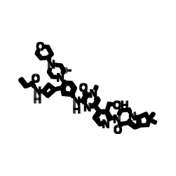 C=CC(=O)NC1CC(c2cc(Nc3nc(-c4ccnc(N5CCn6c(cc7c6CC(C)(C)C7)C5=O)c4CO)cn(C)c3=O)ccc2N2CCN(C3CCOCC3)C[C@@H]2C)C1